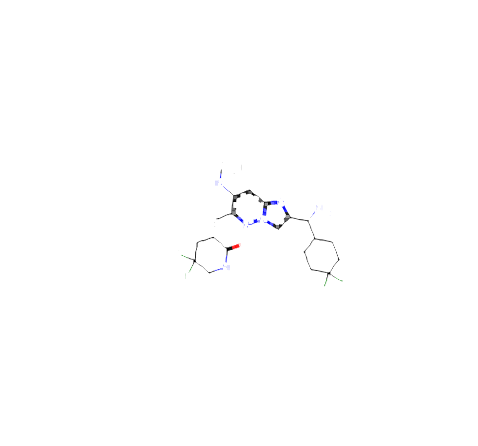 N[C@H](c1cn2nc(C[C@H]3CC(F)(F)CNC3=O)c(NC(=O)O)cc2n1)C1CCC(F)(F)CC1